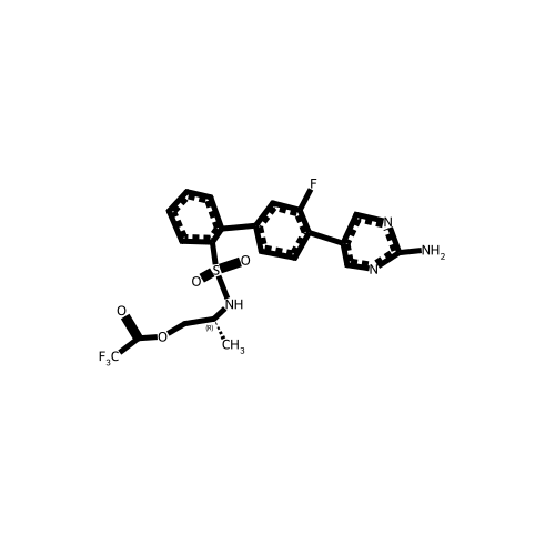 C[C@H](COC(=O)C(F)(F)F)NS(=O)(=O)c1ccccc1-c1ccc(-c2cnc(N)nc2)c(F)c1